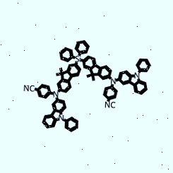 [C-]#[N+]c1ccc(N(c2ccc3c(c2)C(C)(C)c2cc([Si](c4ccccc4)(c4ccccc4)c4ccc5c(c4)C(C)(C)c4cc(N(c6ccc(C#N)cc6)c6ccc7c(c6)c6ccccc6n7-c6ccccc6)ccc4-5)ccc2-3)c2ccc3c(c2)c2ccccc2n3-c2ccccc2)cc1